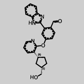 O=Cc1ccc(Oc2ncccc2[C@@H]2CC[C@H](CO)C2)cc1-c1nc2ccccc2[nH]1